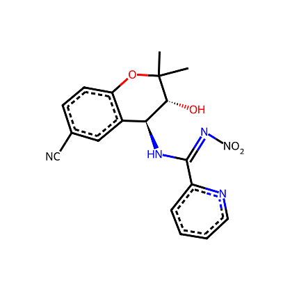 CC1(C)Oc2ccc(C#N)cc2[C@H](NC(=N[N+](=O)[O-])c2ccccn2)[C@H]1O